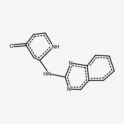 O=c1cc[nH]c(Nc2ncc3ccccc3n2)c1